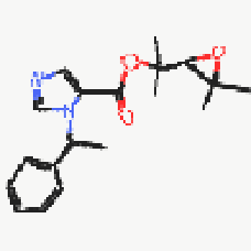 CC(c1ccccc1)n1cncc1C(=O)OC(C)(C)C1OC1(C)C